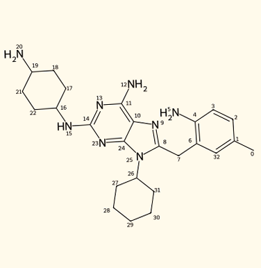 Cc1ccc(N)c(Cc2nc3c(N)nc(NC4CCC(N)CC4)nc3n2C2CCCCC2)c1